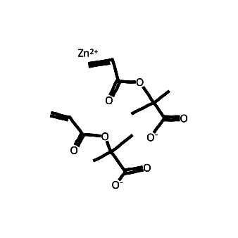 C=CC(=O)OC(C)(C)C(=O)[O-].C=CC(=O)OC(C)(C)C(=O)[O-].[Zn+2]